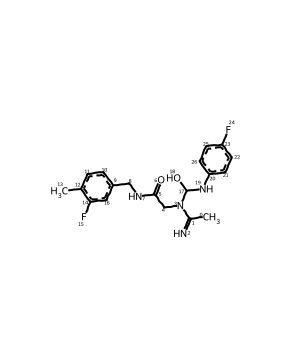 CC(=N)N(CC(=O)NCc1ccc(C)c(F)c1)C(O)Nc1ccc(F)cc1